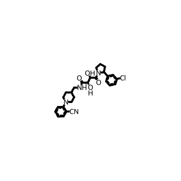 N#Cc1ccccc1N1CCC(CNC(=O)[C@H](O)C(O)C(=O)N2CCCC2c2cccc(Cl)c2)CC1